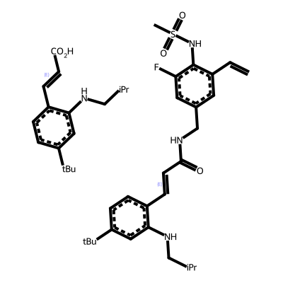 C=Cc1cc(CNC(=O)/C=C/c2ccc(C(C)(C)C)cc2NCC(C)C)cc(F)c1NS(C)(=O)=O.CC(C)CNc1cc(C(C)(C)C)ccc1/C=C/C(=O)O